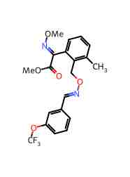 CO/N=C(/C(=O)OC)c1cccc(C)c1CO/N=C/c1cccc(OC(F)(F)F)c1